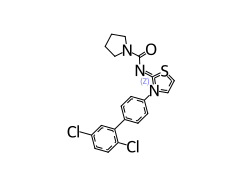 O=C(/N=c1\sccn1-c1ccc(-c2cc(Cl)ccc2Cl)cc1)N1CCCC1